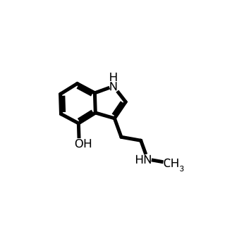 CNCCc1c[nH]c2cccc(O)c12